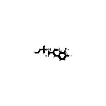 CCCC(C)(C)NC(=O)c1cnc2c(F)c(F)ccc2c1